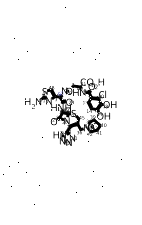 Nc1nc(/C(=N/OC[C@H](NC(=O)c2ccc(O)c(O)c2Cl)C(=O)O)C(=O)N[C@@H]2C(=O)N3C(c4nnn[nH]4)=C(C[N+]45CCC(CC4)CC5)CS[C@H]23)cs1